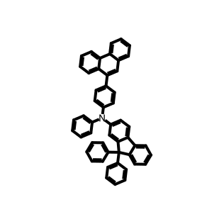 c1ccc(N(c2ccc(-c3cc4ccccc4c4ccccc34)cc2)c2ccc3c(c2)C(c2ccccc2)(c2ccccc2)c2ccccc2-3)cc1